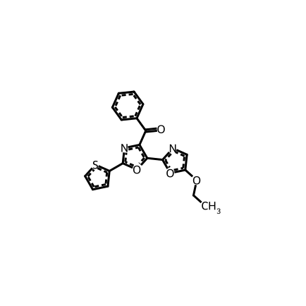 CCOc1cnc(-c2oc(-c3cccs3)nc2C(=O)c2ccccc2)o1